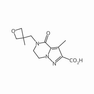 Cc1c(C(=O)O)nn2c1C(=O)N(CC1(C)COC1)CC2